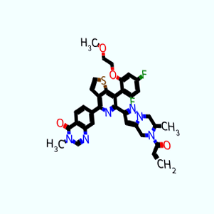 C=CC(=O)N1Cc2cc(-c3nc(-c4ccc5c(=O)n(C)cnc5c4)c4ccsc4c3-c3c(F)cc(F)cc3OCCOC)nn2CC1C